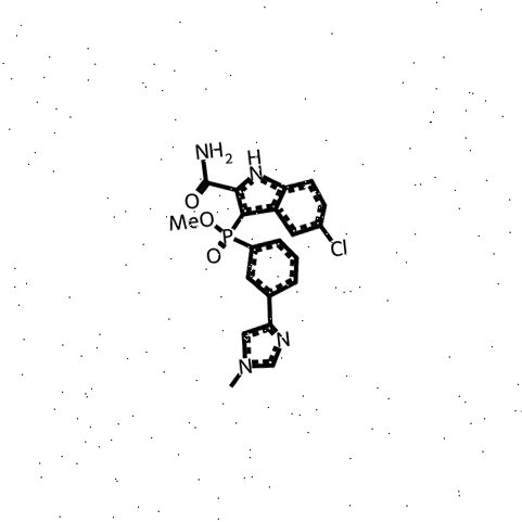 COP(=O)(c1cccc(-c2cn(C)cn2)c1)c1c(C(N)=O)[nH]c2ccc(Cl)cc12